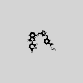 COC(=O)c1cccc(Cn2cc(COc3cccc4c3CN(C3CCC(=O)NC3=O)C4=O)nn2)c1